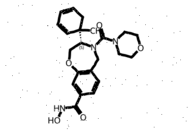 CC1([C@H]2COc3cc(C(=O)NO)ccc3CN2C(=O)N2CCOCC2)C=CC=CC1